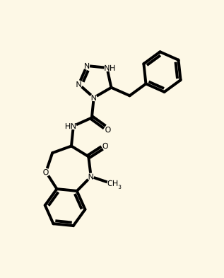 CN1C(=O)C(NC(=O)N2N=NNC2Cc2ccccc2)COc2ccccc21